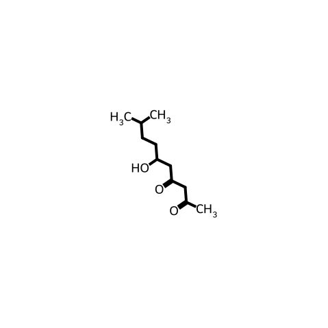 CC(=O)CC(=O)CC(O)CCC(C)C